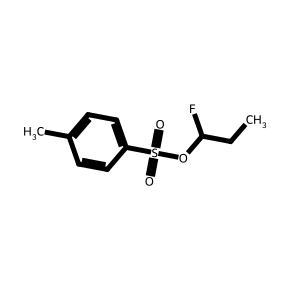 CCC(F)OS(=O)(=O)c1ccc(C)cc1